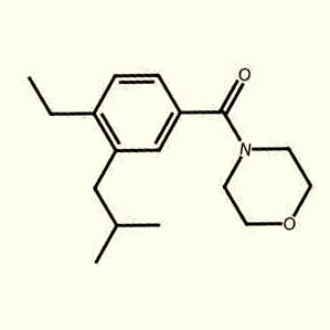 CCc1ccc(C(=O)N2CCOCC2)cc1CC(C)C